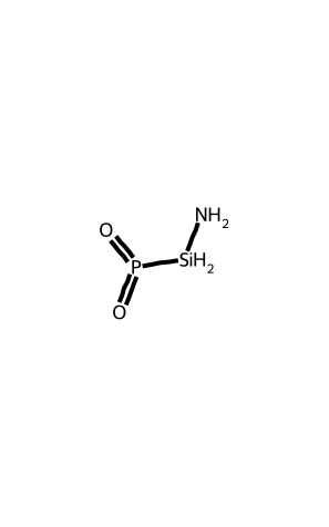 N[SiH2]P(=O)=O